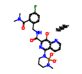 CN(C)C(=O)c1cc(F)ccc1CNC(=O)c1nc(N2CCCN(C)S2([O-])[O-])c2cccnc2c1[O-].[Na+].[Na+].[Na+]